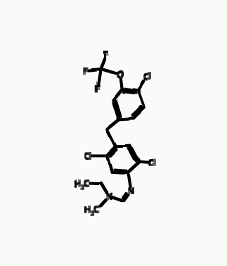 CCN(C)/C=N\c1cc(Cl)c(Cc2ccc(Cl)c(OC(F)(F)F)c2)cc1Cl